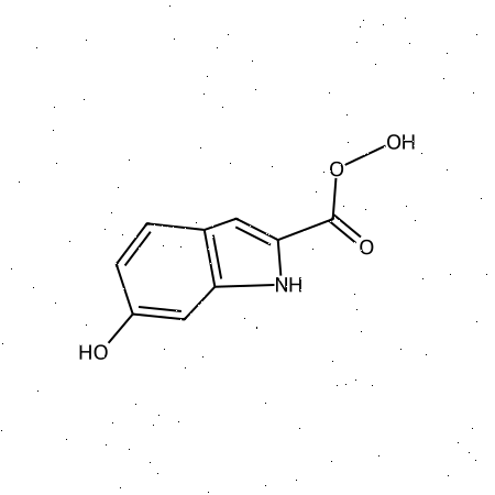 O=C(OO)c1cc2ccc(O)cc2[nH]1